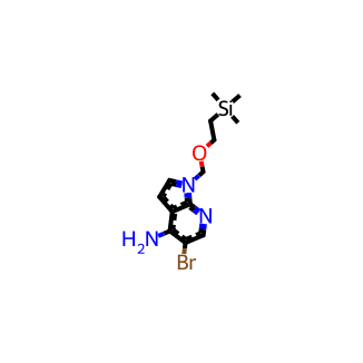 C[Si](C)(C)CCOCn1ccc2c(N)c(Br)cnc21